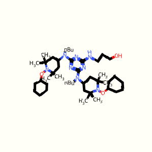 CCCCN(c1nc(NCCCO)nc(N(CCCC)C2CC(C)(C)N(OC3CCCCC3)C(C)(C)C2)n1)C1CC(C)(C)N(OC2CCCCC2)C(C)(C)C1